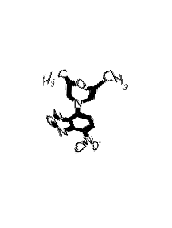 CC1CN(c2ccc([N+](=O)[O-])c3nonc23)CC(C)O1